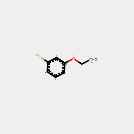 O=CCOc1cccc(F)c1